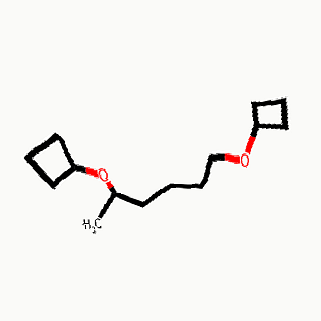 [CH2]C(CCCCOC1CCC1)OC1CCC1